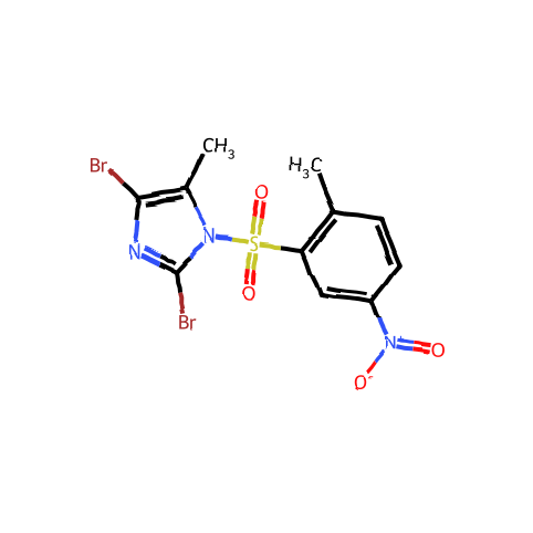 Cc1ccc([N+](=O)[O-])cc1S(=O)(=O)n1c(Br)nc(Br)c1C